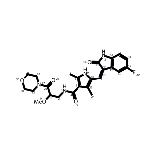 COC(CNC(=O)c1c(C)[nH]c(/C=C2\C(=O)Nc3ccc(F)cc32)c1C)C(=O)N1CCOCC1